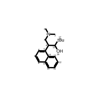 CN(C)CC(c1cccc2ccccc12)C(O)C(C)(C)C